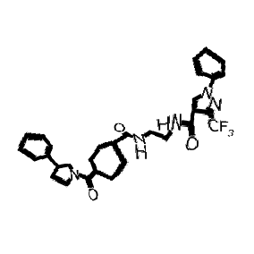 O=C(NCCNC(=O)C1CCC(C(=O)N2CCC(c3ccccc3)C2)CC1)c1cn(-c2ccccc2)nc1C(F)(F)F